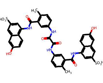 Cc1ccc(NC(=O)C(=O)Nc2ccc(C)c(C(=O)Nc3cc(S(=O)(=O)O)cc4cc(O)ccc34)c2)cc1C(=O)Nc1cc(S(=O)(=O)O)cc2cc(O)ccc12